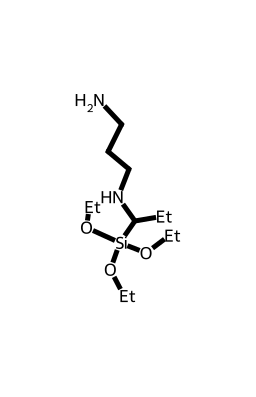 CCO[Si](OCC)(OCC)C(CC)NCCCN